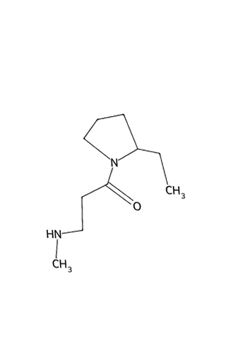 CCC1CCCN1C(=O)CCNC